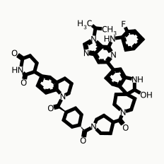 CC(C)n1cnc2cc(-c3ccc4c(c3)NC(O)C43CCN(C(=O)C4CCN(C(=O)[C@H]5CC[C@H](C(=O)N6CCCc7cc(C8CCC(=O)NC8=O)ccc76)CC5)CC4)CC3)nc(Nc3ccccc3F)c21